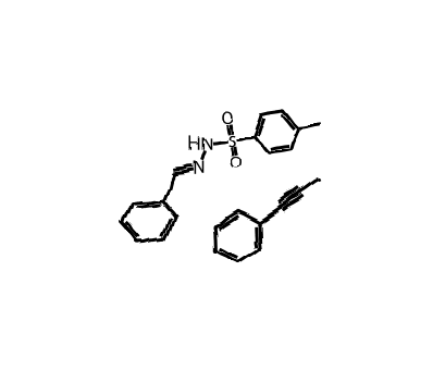 CC#Cc1ccccc1.Cc1ccc(S(=O)(=O)NN=Cc2ccccc2)cc1